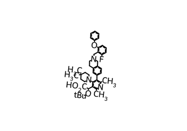 Cc1nc(C)c(C(OC(C)(C)C)C(=O)O)c(N2CCC(C)(C)CC2)c1-c1ccc2c(c1)CCN(Cc1c(F)cccc1Oc1ccccc1)C2